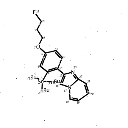 CCC[CH2][Sn]([CH2]CCC)([CH2]CCC)[c]1cc(OCCCF)ccc1-c1cn2ccccc2n1